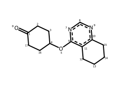 O=C1CCC(Oc2ncnc3c2CCCC3)CC1